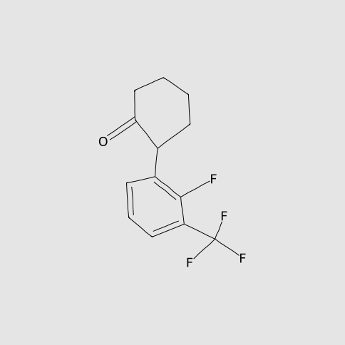 O=C1CCCCC1c1cccc(C(F)(F)F)c1F